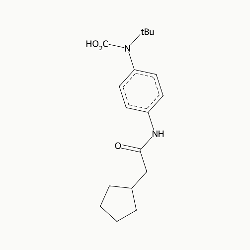 CC(C)(C)N(C(=O)O)c1ccc(NC(=O)CC2CCCC2)cc1